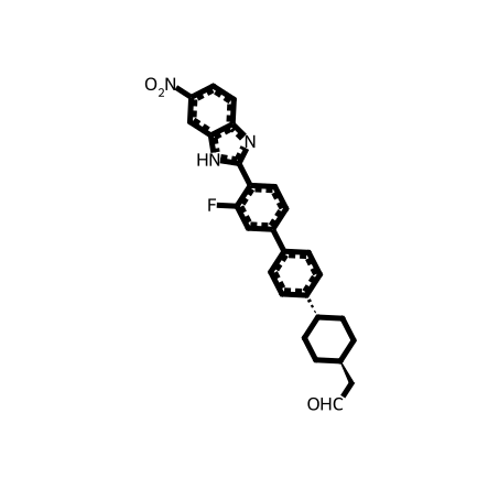 O=CC[C@H]1CC[C@H](c2ccc(-c3ccc(-c4nc5ccc([N+](=O)[O-])cc5[nH]4)c(F)c3)cc2)CC1